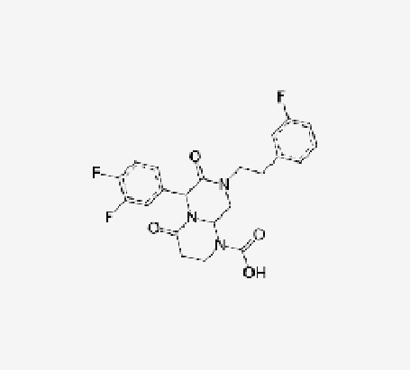 O=C1C(c2ccc(F)c(F)c2)N2C(=O)CCN(C(=O)O)C2CN1CCc1cccc(F)c1